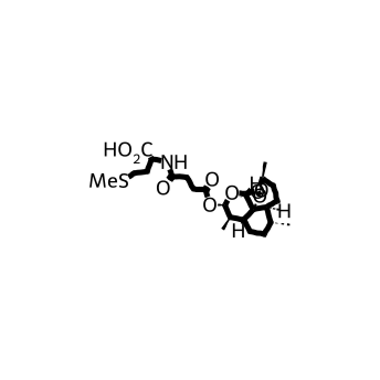 CSCCC(NC(=O)CCC(=O)O[C@@H]1O[C@@H]2O[C@@]3(C)CC[C@H]4[C@H](C)CC[C@@H]([C@H]1C)[C@@]24OO3)C(=O)O